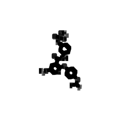 CS(=O)(=O)N=C1C=CC=C(NC(=O)c2cc(C(F)(F)F)cnc2Oc2ccc(OC(F)F)cc2)C1